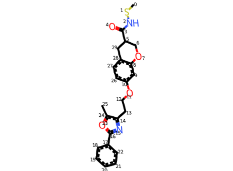 CSNC(=O)C1COc2cc(OCCc3nc(-c4ccccc4)oc3C)ccc2C1